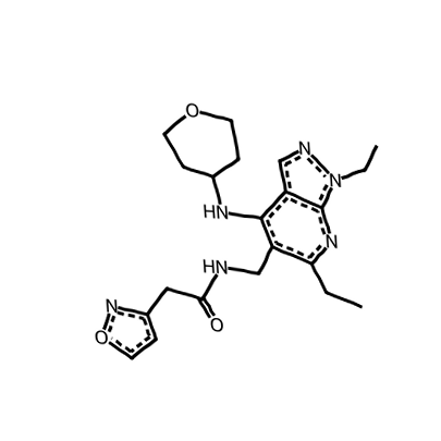 CCc1nc2c(cnn2CC)c(NC2CCOCC2)c1CNC(=O)Cc1ccon1